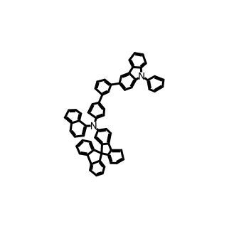 c1ccc(-n2c3ccccc3c3cc(-c4cccc(-c5ccc(N(c6ccc7c(c6)C6(c8ccccc8-c8ccccc86)c6ccccc6-7)c6cccc7ccccc67)cc5)c4)ccc32)cc1